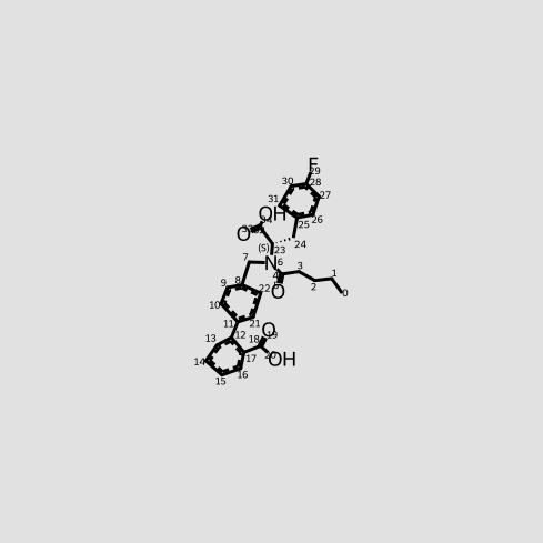 CCCCC(=O)N(Cc1ccc(-c2ccccc2C(=O)O)cc1)[C@@H](Cc1ccc(F)cc1)C(=O)O